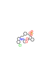 CC(C)(OC1CCCCO1)C1CCCCC1CCC(OS(C)(=O)=O)C1CCCC(CCC2CCC3CCC(Cl)CC3N2)C1